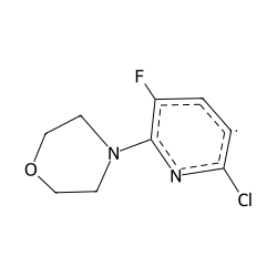 Fc1c[c]c(Cl)nc1N1CCOCC1